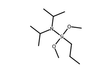 CCC[Si](OC)(OC)N(C(C)C)C(C)C